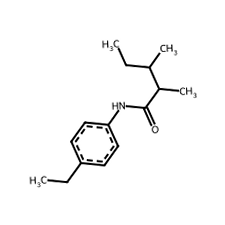 CCc1ccc(NC(=O)C(C)C(C)CC)cc1